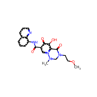 COCCN1CN(C)n2cc(C(=O)Nc3cccc4cccnc34)c(=O)c(O)c2C1=O